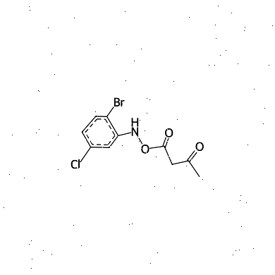 CC(=O)CC(=O)ONc1cc(Cl)ccc1Br